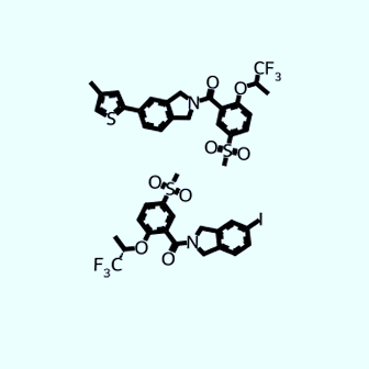 C[C@H](Oc1ccc(S(C)(=O)=O)cc1C(=O)N1Cc2ccc(I)cc2C1)C(F)(F)F.Cc1csc(-c2ccc3c(c2)CN(C(=O)c2cc(S(C)(=O)=O)ccc2OC(C)C(F)(F)F)C3)c1